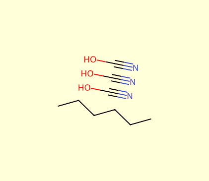 CCCCCC.N#CO.N#CO.N#CO